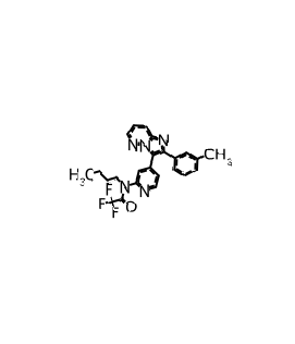 CCCCN(C(=O)C(F)(F)F)c1cc(-c2c(-c3cccc(C)c3)nc3cccnn23)ccn1